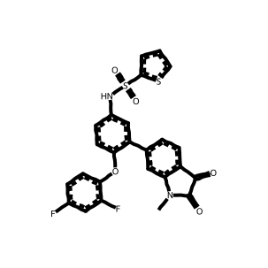 CN1C(=O)C(=O)c2ccc(-c3cc(NS(=O)(=O)c4cccs4)ccc3Oc3ccc(F)cc3F)cc21